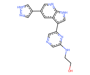 OCCNc1cncc(-c2c[nH]c3ncc(-c4cn[nH]c4)cc23)n1